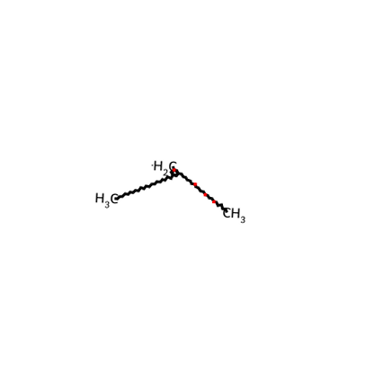 [CH2]c1cc(CCCCCCCCCCCCCCCCCCCCCC)cc(CCCCCCCCCCCCCCCCCCCCCC)c1